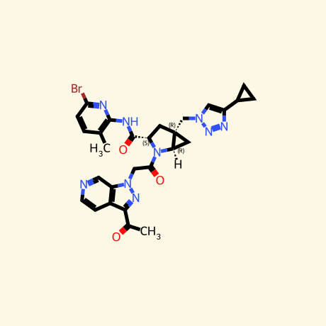 CC(=O)c1nn(CC(=O)N2[C@H](C(=O)Nc3nc(Br)ccc3C)C[C@@]3(Cn4cc(C5CC5)nn4)C[C@@H]23)c2cnccc12